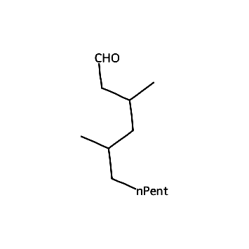 CCCCCCC(C)CC(C)CC=O